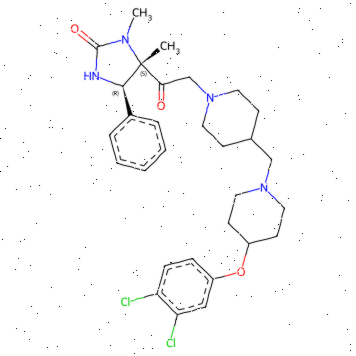 CN1C(=O)N[C@H](c2ccccc2)[C@@]1(C)C(=O)CN1CCC(CN2CCC(Oc3ccc(Cl)c(Cl)c3)CC2)CC1